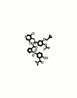 CN(C)C(=O)c1cc(S(=O)(=O)n2cccc2C(=O)O[C@@H](Cc2c(Cl)cncc2Cl)c2ccc(OC(F)F)c(OCC3CC3)c2)ccc1O